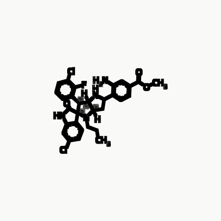 CCCN1[C@H]2CC(c3ccc(C(=O)OC)cc3N)N[C@H]2[C@H](c2cccc(Cl)c2F)[C@]12C(=O)Nc1cc(Cl)ccc12